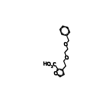 O=C(O)c1occc1CCOCCOCc1ccccc1